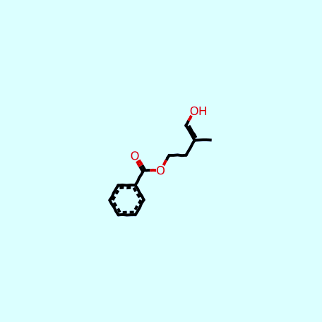 CC(=CO)CCOC(=O)c1ccccc1